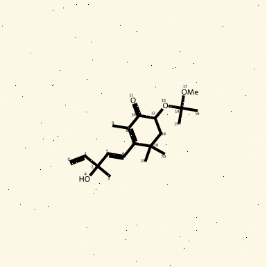 C=CC(C)(O)C=CC1=C(C)C(=O)C(OC(C)(C)OC)CC1(C)C